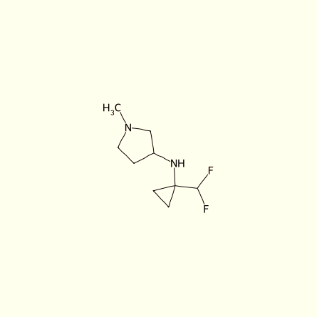 CN1CCC(NC2(C(F)F)CC2)C1